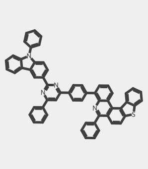 c1ccc(-c2cc(-c3ccc(-c4cccc5c4nc(-c4ccccc4)c4ccc6sc7ccccc7c6c45)cc3)nc(-c3ccc4c(c3)c3ccccc3n4-c3ccccc3)n2)cc1